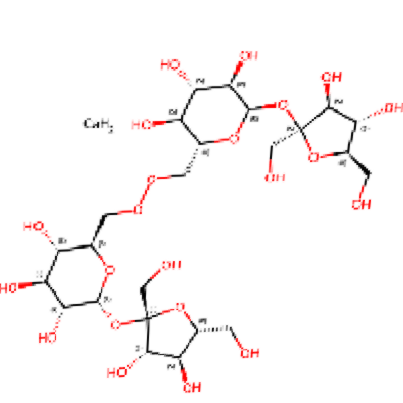 OC[C@H]1O[C@@](CO)(O[C@H]2O[C@H](COOC[C@H]3O[C@H](O[C@]4(CO)O[C@H](CO)[C@@H](O)[C@@H]4O)[C@H](O)[C@@H](O)[C@@H]3O)[C@@H](O)[C@H](O)[C@H]2O)[C@@H](O)[C@@H]1O.[CaH2]